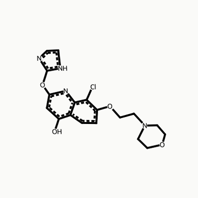 Oc1cc(Oc2ncc[nH]2)nc2c(Cl)c(OCCN3CCOCC3)ccc12